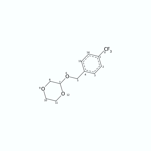 FC(F)(F)c1ccc(COC2COCCO2)cc1